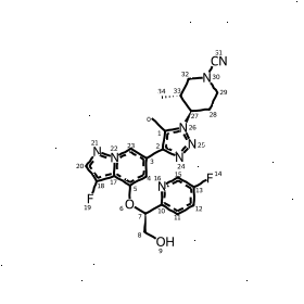 Cc1c(-c2cc(O[C@H](CO)c3ccc(F)cn3)c3c(F)cnn3c2)nnn1[C@@H]1CCN(C#N)C[C@H]1C